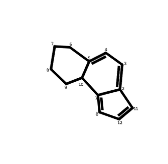 [C]1=C2C(=CC=C3CCCCC23)C=C1